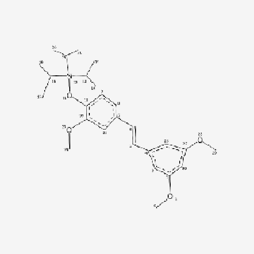 COc1cc(C=Cc2ccc(O[Si](C(C)C)(C(C)C)C(C)C)c(OC)c2)cc(OC)c1